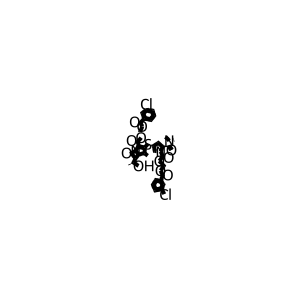 CC1C(S[C@H]2C[C@@H](C(=O)N(C)C)N(C(=O)OCOC(=O)c3cccc(Cl)c3)C2)=C(C(=O)OCOC(=O)c2cccc(Cl)c2)N2C(=O)C([C@@H](C)O)C12